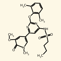 CCCCS(=O)(=O)Nc1cc(-c2cc(OC)c(=O)n(C)c2)nc(Oc2c(C)cccc2C)n1